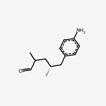 CC(C=O)C[C@@H](C)Cc1ccc(N)cc1